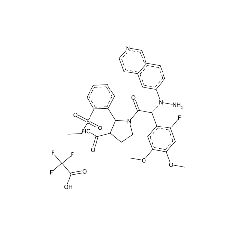 CCS(=O)(=O)c1ccccc1C1C(C(=O)O)CCN1C(=O)[C@@H](c1cc(OC)c(OC)cc1F)N(N)c1ccc2cnccc2c1.O=C(O)C(F)(F)F